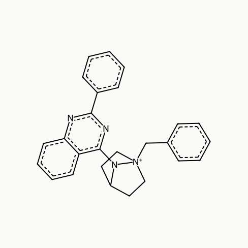 c1ccc(C[N+]23CCC(CC2)N3c2nc(-c3ccccc3)nc3ccccc23)cc1